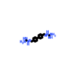 N=C(N)N/N=C/c1ccc(-c2ccc(/C=N/NC(=N)N)cc2)cc1